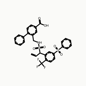 C=CC(c1cc(S(=O)(=O)c2ccccc2)ccc1C(F)(F)F)S(=O)(=O)NCc1cc(C(=O)O)ccc1-c1ccccc1